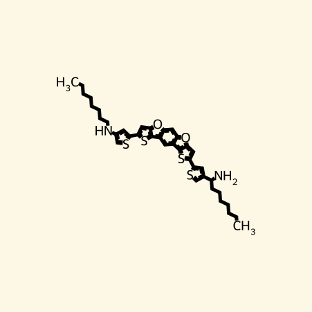 CCCCCCCCNc1csc(-c2cc3oc4cc5oc6cc(-c7cc(C(N)CCCCCCC)cs7)sc6c5cc4c3s2)c1